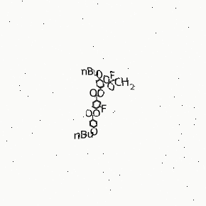 C=C(F)C(=O)Oc1cc(OC(=O)c2ccc(OC(=O)c3ccc(OCCCC)cc3)c(F)c2)ccc1OCCCC